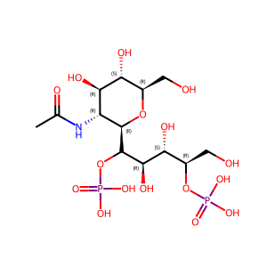 CC(=O)N[C@@H]1[C@@H](O)[C@H](O)[C@@H](CO)O[C@H]1C(OP(=O)(O)O)[C@H](O)[C@H](O)[C@@H](CO)OP(=O)(O)O